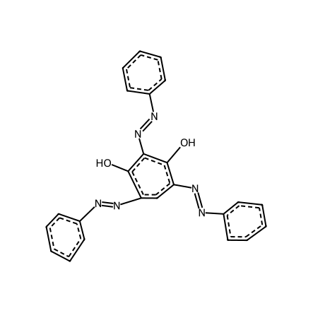 Oc1c(/N=N/c2ccccc2)cc(/N=N/c2ccccc2)c(O)c1/N=N/c1ccccc1